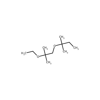 CCOC(C)(C)COC(C)(C)CC